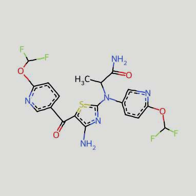 CC(C(N)=O)N(c1ccc(OC(F)F)nc1)c1nc(N)c(C(=O)c2ccc(OC(F)F)nc2)s1